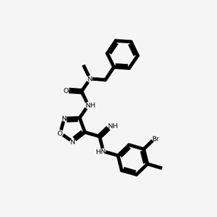 Cc1ccc(NC(=N)c2nonc2NC(=O)N(C)Cc2ccccc2)cc1Br